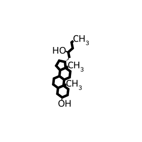 CCC[C@H](O)C[C@H]1CCC2C3CCC4C[C@@H](O)CCC4(C)C3CCC21C